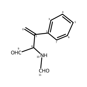 C=C(c1ccccc1)C(C=O)NC=O